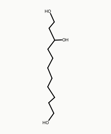 OCCCCCCCCC(O)CCO